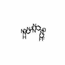 O=C(c1ccc2ncc(-c3ccc4[nH]ncc4n3)nc2c1)N1CCC(F)(F)CC1